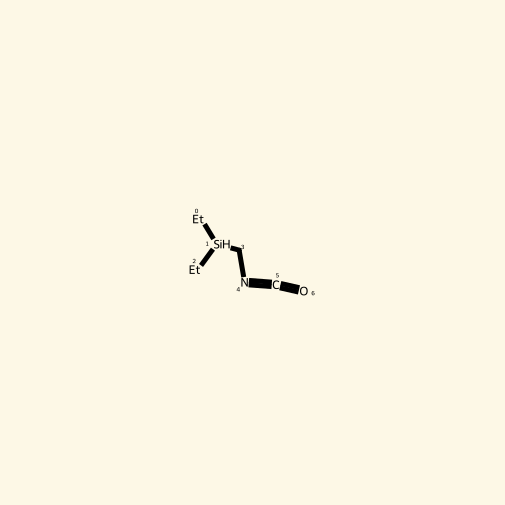 CC[SiH](CC)CN=C=O